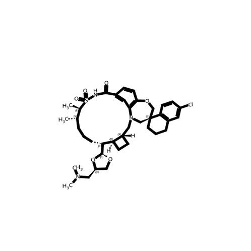 C[C@@H]1[C@@H](C)CCC[C@@H]([C@@H]2OC[C@@H](CN(C)C)O2)[C@@H]2CC[C@H]2CN2C[C@@]3(CCCc4cc(Cl)ccc43)COc3ccc(cc32)C(=O)NS1(=O)=O